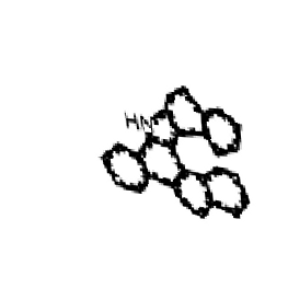 c1ccc2c(c1)ccc1[nH]c3c4ccccc4c4ccc5ccccc5c4c3c12